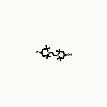 CC1(C)CC(O)CC(C)(C)N1CCN1C(C)(C)CC(O)CC1(C)C